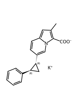 Cc1cc2ccc([C@@H]3C[C@H]3c3ccccc3)cn2c1C(=O)[O-].[K+]